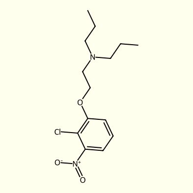 CCCN(CCC)CCOc1cccc([N+](=O)[O-])c1Cl